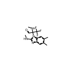 CNc1nc2cc(C)c(C)cc2n1C(C=O)(NC)C(F)(F)F